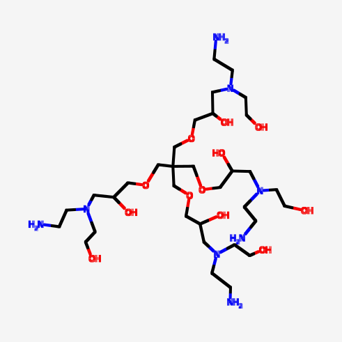 NCCN(CCO)CC(O)COCC(COCC(O)CN(CCN)CCO)(COCC(O)CN(CCN)CCO)COCC(O)CN(CCN)CCO